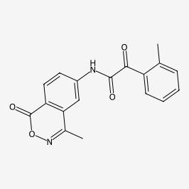 Cc1ccccc1C(=O)C(=O)Nc1ccc2c(=O)onc(C)c2c1